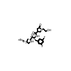 CCCCO[C@H]1CN[C@@H]([C@@H](O)[C@H](Cc2cc(F)cc(F)c2)NC(=O)C2CC(=O)N(CCO)C2)C1